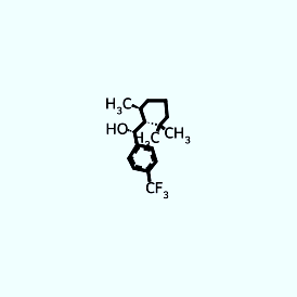 C[C@H]1CCCC(C)(C)[C@@H]1[C@@H](O)c1ccc(C(F)(F)F)cc1